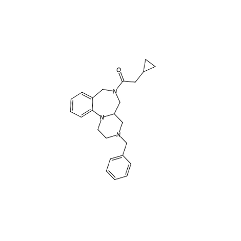 O=C(CC1CC1)N1Cc2ccccc2N2CCN(Cc3ccccc3)CC2C1